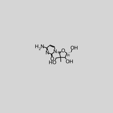 CC1(CO)C(O)[C@@H](CO)O[C@H]1n1ccc(N)nc1=O